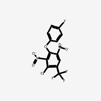 O=[N+]([O-])c1cc(C(F)(F)F)c(Cl)c([N+](=O)[O-])c1Oc1ccc(F)cc1